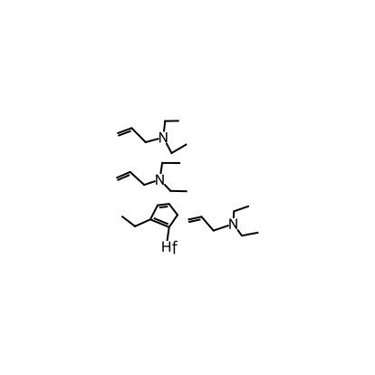 C=CCN(CC)CC.C=CCN(CC)CC.C=CCN(CC)CC.CCC1=[C]([Hf])CC=C1